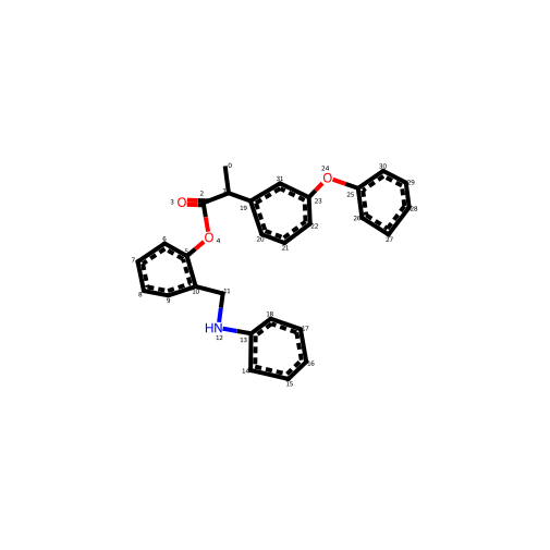 CC(C(=O)Oc1ccccc1CNc1ccccc1)c1cccc(Oc2ccccc2)c1